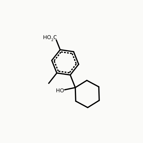 Cc1cc(C(=O)O)ccc1C1(O)CCCCC1